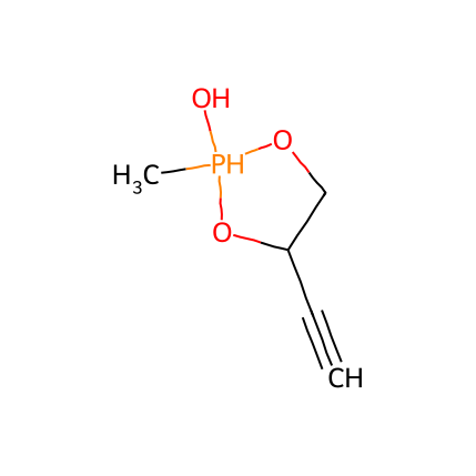 C#CC1CO[PH](C)(O)O1